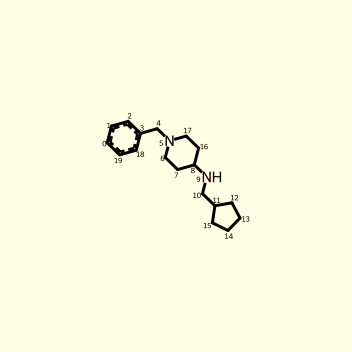 c1ccc(CN2CCC(NCC3CCCC3)CC2)cc1